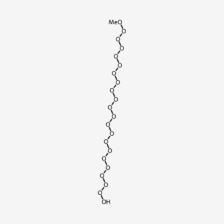 COOOOOOOOOOOOOOOOOOOOOO